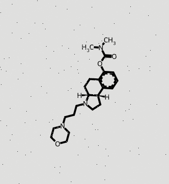 CN(C)C(=O)Oc1cccc2c1CC[C@@H]1[C@H]2CCN1CCCN1CCOCC1